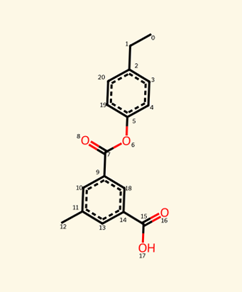 CCc1ccc(OC(=O)c2cc(C)cc(C(=O)O)c2)cc1